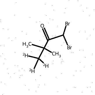 [2H]C([2H])([2H])C(C)(C)C(=O)C(Br)Br